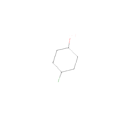 OC1[CH]CC(F)CC1